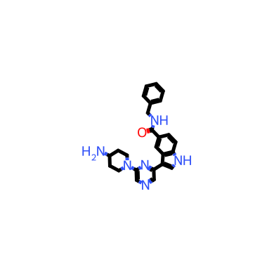 NC1CCN(c2cncc(-c3c[nH]c4ccc(C(=O)NCc5ccccc5)cc34)n2)CC1